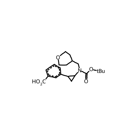 CC(C)(C)OC(=O)N(CC1CCOCC1)C1CC1c1cccc(C(=O)O)c1